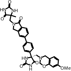 COc1ccc2c(c1)OCN(C[C@@]1(c3ccc(-c4ccc5c(c4)CN(CC4(C)NC(=O)NC4=O)C5=O)cc3)NC(=O)NC1=O)C2